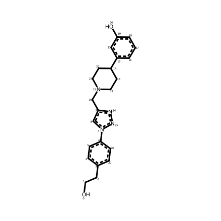 OCCc1ccc(-n2cc(CN3CCC(c4cccc(O)c4)CC3)nn2)cc1